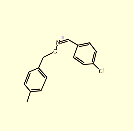 Cc1ccc(CO/N=[C]\c2ccc(Cl)cc2)cc1